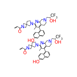 C=CC(=O)N1CC2(CCN(c3nc4c(c(-c5cccc6cc(O)ccc56)c3C)CCN(CC(O)C(F)(F)F)C4)C2)C1.C=CC(=O)N1CC2(CCN(c3nc4c(c(-c5cccc6cc(O)ccc56)c3C)CCN(CC(O)C(F)(F)F)C4)C2)C1